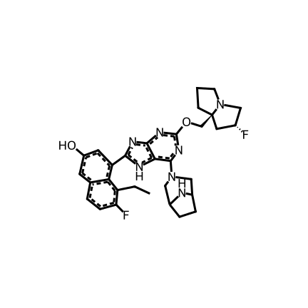 CCc1c(F)ccc2cc(O)cc(-c3nc4nc(OC[C@@]56CCCN5C[C@H](F)C6)nc(N5CC6CCC(C5)N6)c4[nH]3)c12